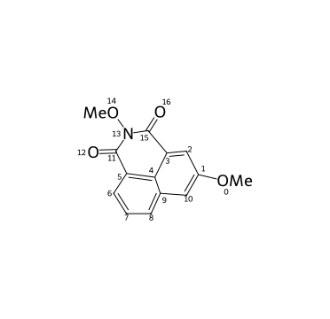 COc1cc2c3c(cccc3c1)C(=O)N(OC)C2=O